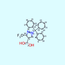 OC(O)c1cn(C(c2ccccc2)(c2ccccc2)c2ccccc2)nc1C(F)(F)F